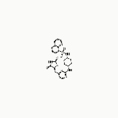 O=C1NC(=O)C(=Cc2ccnc(NC3CCC(NS(=O)(=O)c4cccc5cccnc45)CC3)n2)S1